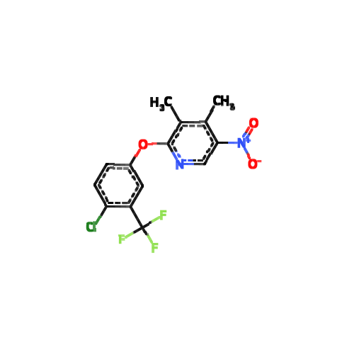 Cc1c([N+](=O)[O-])cnc(Oc2ccc(Cl)c(C(F)(F)F)c2)c1C